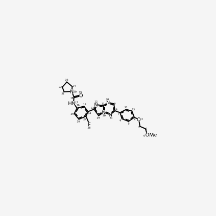 COCCOc1ccc(-c2cnc3nc(-c4cc(NC(=O)N5CCCC5)ccc4F)cn3n2)cc1